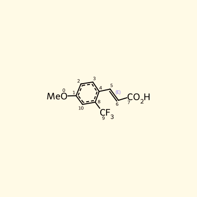 COc1ccc(/C=C/C(=O)O)c(C(F)(F)F)c1